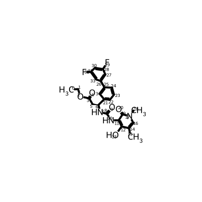 CCOC(=O)C[C@H](NC(=O)Nc1c(O)c(C)cn(C)c1=O)c1cccc(-c2cc(F)cc(F)c2)c1